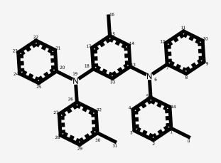 Cc1cccc(N(c2ccccc2)c2cc(C)cc(N(c3ccccc3)c3cccc(C)c3)c2)c1